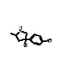 CC1CC(O)(c2ccc(Cl)cc2)CN1